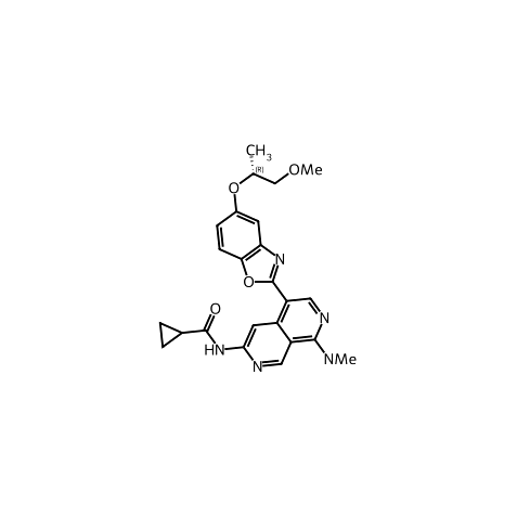 CNc1ncc(-c2nc3cc(O[C@H](C)COC)ccc3o2)c2cc(NC(=O)C3CC3)ncc12